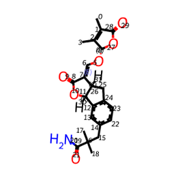 CC1=C(C)[C@@H](O/C=C2/C(=O)O[C@H]3c4cc(CC(C)(C)C(N)=O)ccc4C[C@@H]23)OC1=O